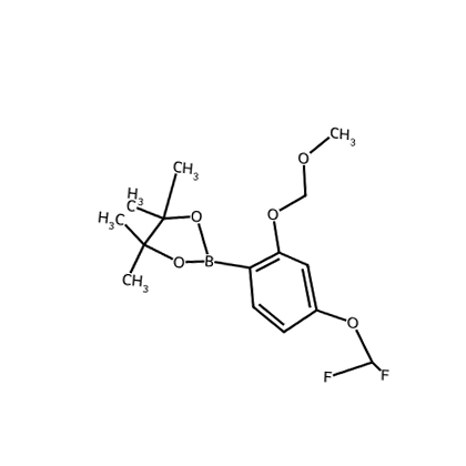 COCOc1cc(OC(F)F)ccc1B1OC(C)(C)C(C)(C)O1